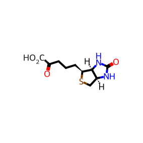 O=C1N[C@H]2[C@H](CS[C@H]2CCCC(=O)C(=O)O)N1